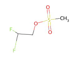 CS(=O)(=O)OCC(F)F